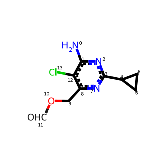 Nc1nc(C2CC2)nc(COC=O)c1Cl